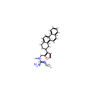 CN(Cc1occc1C1CCc2ccc3c(ccc4ccccc43)c2C1)C(N)=N[N+](=O)[O-]